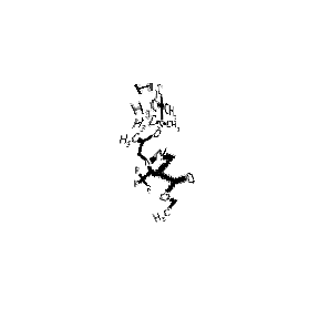 CCOC(=O)c1cnn(CC(C)O[Si](C)(C)C(C)(C)C)c1C(F)(F)F